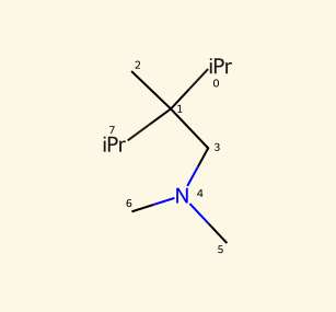 CC(C)C(C)(CN(C)C)C(C)C